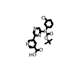 CC(C)(C)OC(=O)N(c1cccc(Cl)c1)c1cncc(-c2cncc(C(=O)O)c2)n1